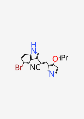 CC(C)Oc1ccncc1/C=C(\C#N)c1c[nH]c2ccc(Br)cc12